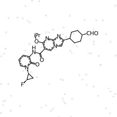 CC(C)Oc1nc2nc(C3CCC(C=O)CC3)cn2cc1C(=O)Nc1cccn([C@H]2C[C@H]2F)c1=O